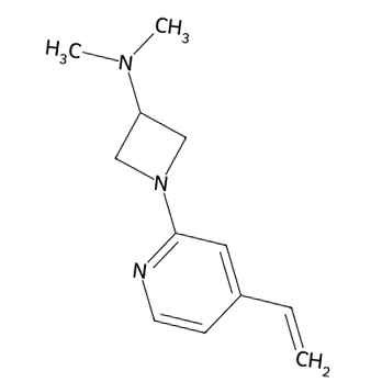 C=Cc1ccnc(N2CC(N(C)C)C2)c1